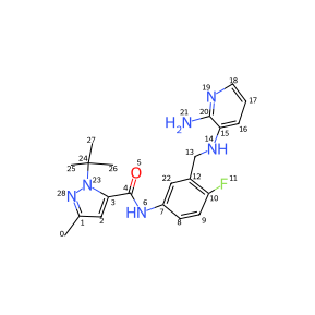 Cc1cc(C(=O)Nc2ccc(F)c(CNc3cccnc3N)c2)n(C(C)(C)C)n1